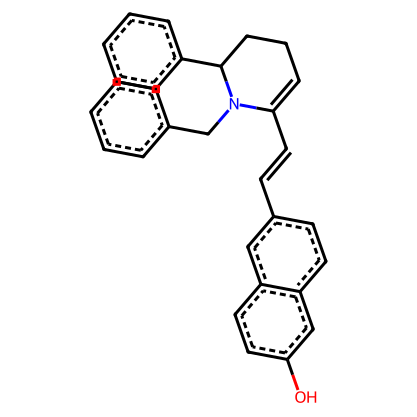 Oc1ccc2cc(C=CC3=CCCC(c4ccccc4)N3Cc3ccccc3)ccc2c1